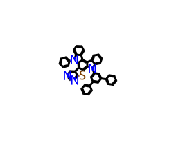 c1ccc(-c2cc(-c3ccccc3)cc(-n3c4ccccc4c4c5c6ccccc6n(-c6ccccc6)c5c5c6cncnc6sc5c43)c2)cc1